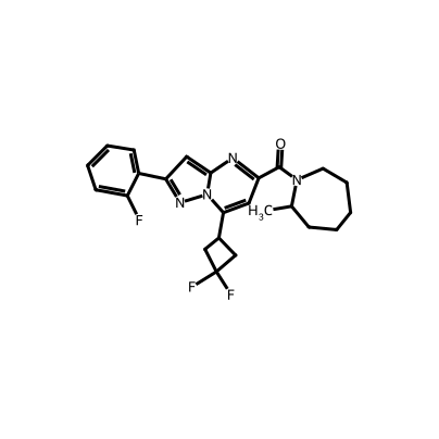 CC1CCCCCN1C(=O)c1cc(C2CC(F)(F)C2)n2nc(-c3ccccc3F)cc2n1